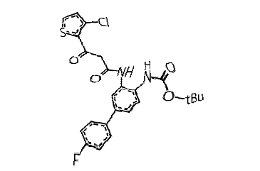 CC(C)(C)OC(=O)Nc1ccc(-c2ccc(F)cc2)cc1NC(=O)CC(=O)c1sccc1Cl